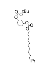 CC(C)CCCCCCCCCCOC(=O)OC1CCCC(OC(=O)OC(C)(C)C)C1